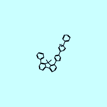 CC1(C)c2c(-c3ccccc3)cccc2-c2cccc(-c3ccc(-c4ccc(-c5ccccc5)nc4)cc3)c21